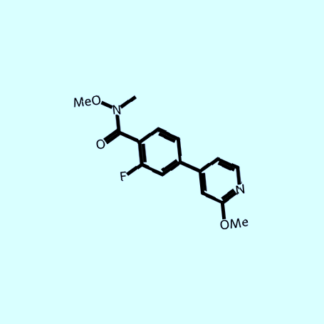 COc1cc(-c2ccc(C(=O)N(C)OC)c(F)c2)ccn1